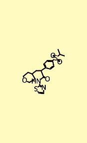 CC(C)S(=O)(=O)c1ccc(C(CC2CCOCC2)C(=O)Nc2nccs2)cc1